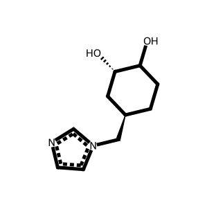 OC1CC[C@@H](Cn2ccnc2)C[C@@H]1O